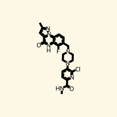 CNC(=O)c1ccc(N2CCN(Cc3ccc4c([nH]c(=O)c5cc(C)nn54)c3F)CC2)c(Cl)n1